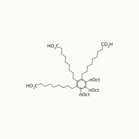 CCCCCCCCc1c(CCCCCCCC)c(CCCCCCCCC(=O)O)c(CCCCCCCCC(=O)O)c(CCCCCCCCC(=O)O)c1CCCCCCCC